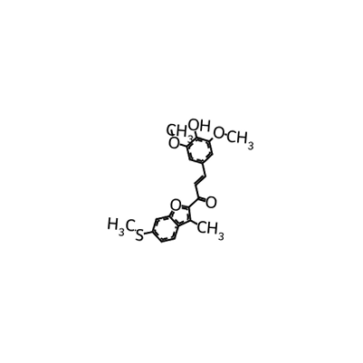 COc1cc(/C=C/C(=O)c2oc3cc(SC)ccc3c2C)cc(OC)c1O